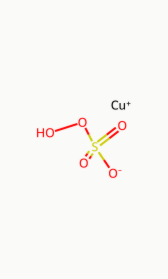 O=S(=O)([O-])OO.[Cu+]